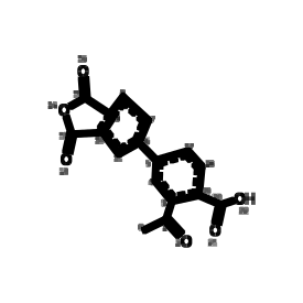 CC(=O)c1cc(-c2ccc3c(c2)C(=O)OC3=O)ccc1C(=O)O